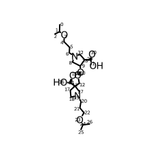 CC(C)OCCCN1CC(OOCC2(C(=O)O)CCN(CCCOC(C)C)C2)C(C(=O)O)C1